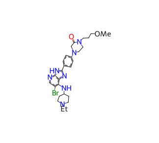 CCN1CCC(Nc2c(Br)cnc3[nH]c(-c4ccc(N5CCN(CCCOC)C(=O)C5)cc4)nc23)CC1